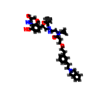 CC(C)(C)[Si](C)(C)O[C@@H](CNCCN(C(=O)CCOCCc1cccc(CCN2CC3CCCC3C2)c1)C1CC1)c1ccc(O)c2c1OCC(=O)N2